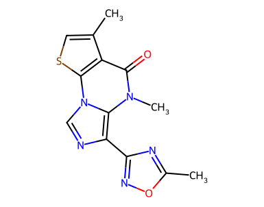 Cc1nc(-c2ncn3c4scc(C)c4c(=O)n(C)c23)no1